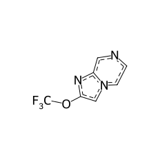 FC(F)(F)Oc1cn2ccncc2n1